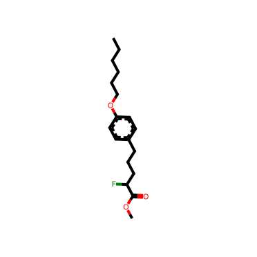 CCCCCCOc1ccc(CCCC(F)C(=O)OC)cc1